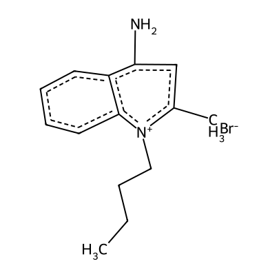 CCCC[n+]1c(C)cc(N)c2ccccc21.[Br-]